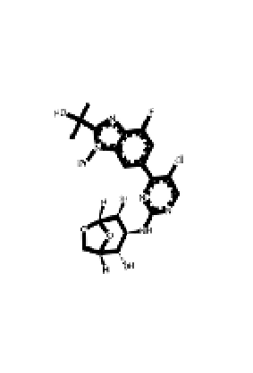 [2H][C@@H]1[C@H]2OC[C@H](O2)[C@@H](O)[C@@H]1Nc1ncc(Cl)c(-c2cc(F)c3nc(C(C)(C)O)n(C(C)C)c3c2)n1